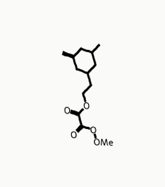 C=C1CC(C)CC(CCOC(=O)C(=O)OOC)C1